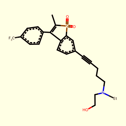 CCN(CCO)CCCC#Cc1ccc2c(c1)S(=O)(=O)C(C)=C2c1ccc(C(F)(F)F)cc1